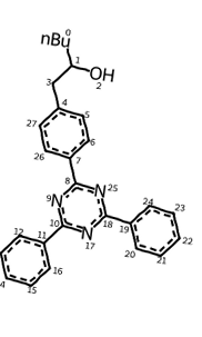 CCCCC(O)Cc1ccc(-c2nc(-c3ccccc3)nc(-c3ccccc3)n2)cc1